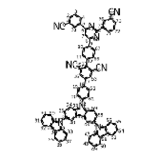 N#Cc1cccc(-c2cc(-c3ccc(-c4c(C#N)cc(-c5ccc(-n6c7ccc(-n8c9ccccc9c9ccccc98)cc7c7cc(-n8c9ccccc9c9ccccc98)ccc76)cc5)cc4C#N)cc3)nc(-c3cccc(C#N)c3)n2)c1